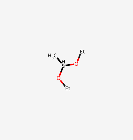 CCO[SiH](C)OCC